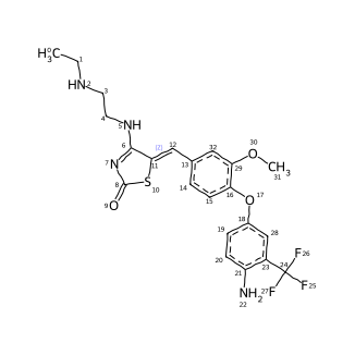 CCNCCNC1=NC(=O)S/C1=C\c1ccc(Oc2ccc(N)c(C(F)(F)F)c2)c(OC)c1